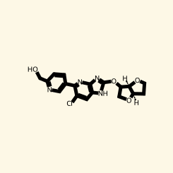 OCc1ccc(-c2nc3nc(OC4CO[C@@H]5CCO[C@H]45)[nH]c3cc2Cl)cn1